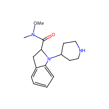 CON(C)C(=O)C1Cc2ccccc2N1C1CCNCC1